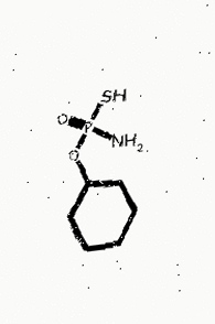 NP(=O)(S)OC1CCCCC1